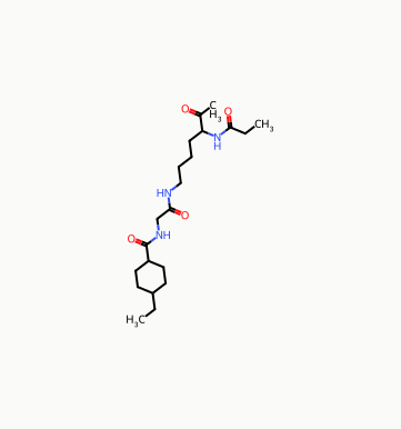 CCC(=O)NC(CCCCNC(=O)CNC(=O)C1CCC(CC)CC1)C(C)=O